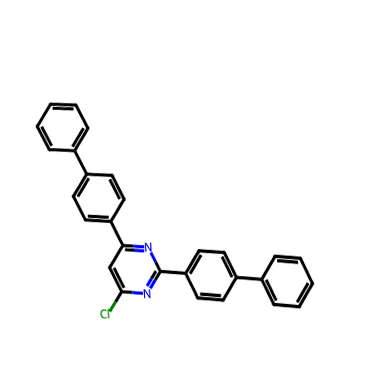 Clc1cc(-c2ccc(-c3ccccc3)cc2)nc(-c2ccc(-c3ccccc3)cc2)n1